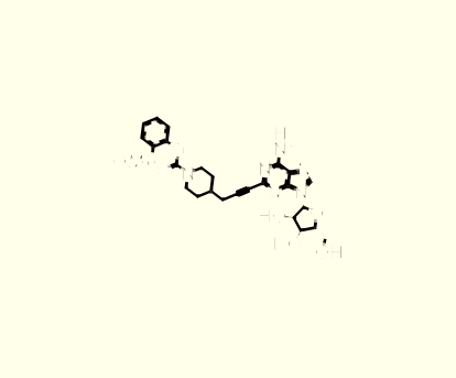 COc1ccccc1OC(=O)N1CCC(CC#Cc2nc(N)c3ncn([C@@H]4O[C@H](CO)[C@@H](O)[C@H]4O)c3n2)CC1